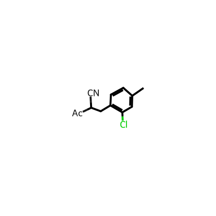 CC(=O)C(C#N)Cc1ccc(C)cc1Cl